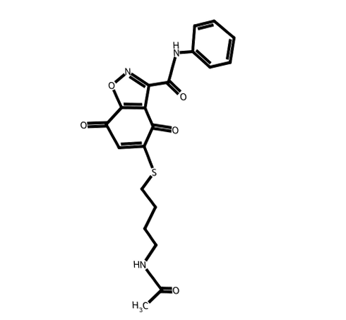 CC(=O)NCCCCSC1=CC(=O)c2onc(C(=O)Nc3ccccc3)c2C1=O